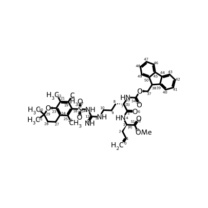 C=CC[C@@H](NC(=O)[C@H](CCCNC(=N)NS(=O)(=O)c1c(C)c(C)c2c(c1C)CCC(C)(C)O2)NC(=O)OCC1c2ccccc2-c2ccccc21)C(=O)OC